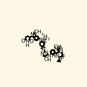 C[C@@H]1CC2(CC[C@@H]1Nc1ccc3c(C4CCC(=O)NC4=O)nn(C)c3c1)CN(c1ncc(Cl)c(Nc3ccc4c(c3)c3c(c(=O)n4C)OCC(F)(F)[C@H](C4CC4)N3)n1)C2